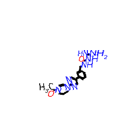 CC(=O)N1CCCN(c2ncc(-c3cccc(CNC(=O)NC(=N)N)c3)cn2)CC1